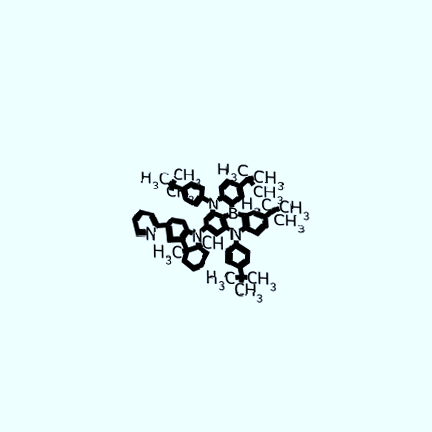 CC(C)(C)c1ccc(N2c3ccc(C(C)(C)C)cc3B3c4cc(C(C)(C)C)ccc4N(c4ccc(C(C)(C)C)cc4)c4cc(N5c6ccc(-c7ccccn7)cc6C6(C)CCCCC56C)cc2c43)cc1